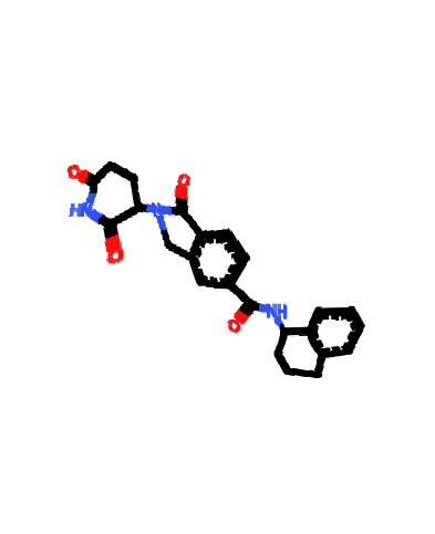 O=C1CCC(N2Cc3cc(C(=O)N[C@@H]4CCCc5ccccc54)ccc3C2=O)C(=O)N1